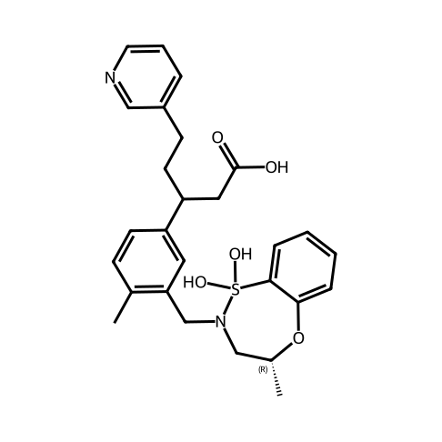 Cc1ccc(C(CCc2cccnc2)CC(=O)O)cc1CN1C[C@@H](C)Oc2ccccc2S1(O)O